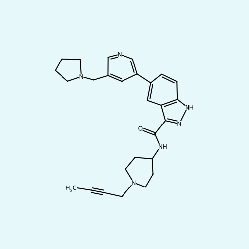 CC#CCN1CCC(NC(=O)c2n[nH]c3ccc(-c4cncc(CN5CCCC5)c4)cc23)CC1